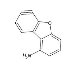 Nc1cccc2oc3c#cccc3c12